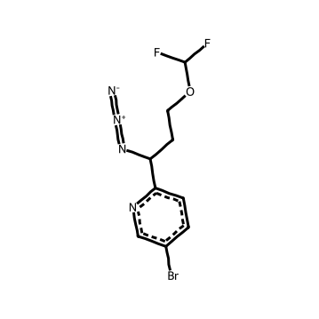 [N-]=[N+]=NC(CCOC(F)F)c1ccc(Br)cn1